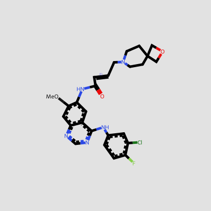 COc1cc2ncnc(Nc3ccc(F)c(Cl)c3)c2cc1NC(=O)/C=C/CN1CCC2(CC1)COC2